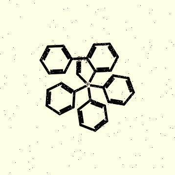 C=CP(c1ccccc1)(c1ccccc1)(c1ccccc1)c1ccccc1-c1ccccc1